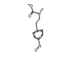 COC(=O)N(C)CCc1ccc(N=O)cc1